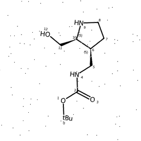 CC(C)(C)OC(=O)NC[C@@H]1CCN[C@@H]1CO